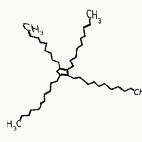 CCCCCCCCCCCC1=C(CCCCCCCCCCC)C(CCCCCCCCCC)=C(CCCCCCCCC)C1